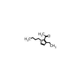 CCCCn1ccc(CC)c1C(C)=O